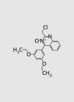 CCOc1cc(OCC)cc(-c2c3ccccc3nc(CCl)[n+]2[O-])c1